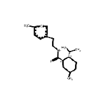 Cc1ccc(CCNC(=O)[C@@H]2CC(C)CC[C@H]2C(C)C)cc1